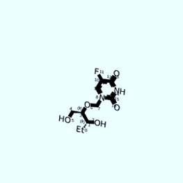 CC[C@@H](O)[C@@H](CO)OCn1cc(F)c(=O)[nH]c1=O